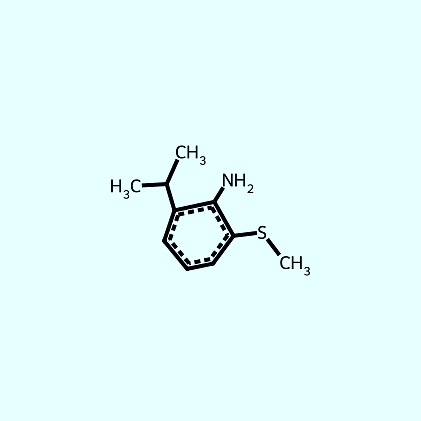 CSc1cccc(C(C)C)c1N